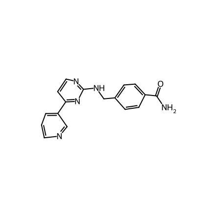 NC(=O)c1ccc(CNc2nccc(-c3cccnc3)n2)cc1